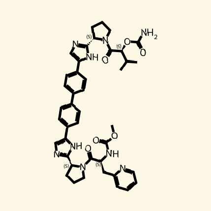 COC(=O)N[C@@H](Cc1ccccn1)C(=O)N1CCC[C@H]1c1ncc(-c2ccc(-c3ccc(-c4cnc([C@@H]5CCCN5C(=O)[C@@H](OC(N)=O)C(C)C)[nH]4)cc3)cc2)[nH]1